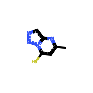 Cc1cc(S)n2nncc2n1